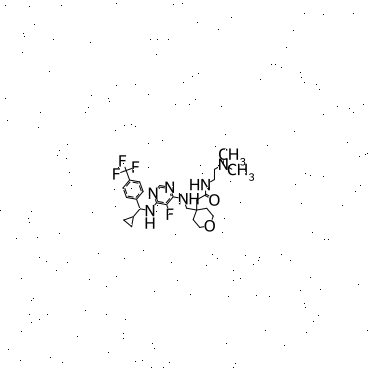 CN(C)CCNC(=O)CC1(CNc2ncnc(NC(c3ccc(C(F)(F)F)cc3)C3CC3)c2F)CCOCC1